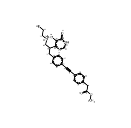 COC(=O)Cc1ccc(C#Cc2ccc(CC(CNCCF)c3nc[nH]c(=O)c3O)cc2)cc1